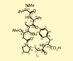 CC[C@H](C)[C@@H]([C@@H](CC(=O)N1CCC[C@H]1C[C@@H](C)C(=O)N[C@@H](Cc1ccccc1)C(=O)O)OC)N(C)C(=O)[C@@H](NC(=O)[C@@H](NC)C(C)C)C(C)C